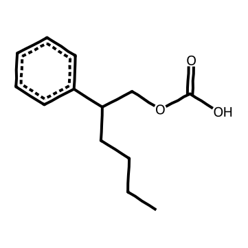 CCCCC(COC(=O)O)c1ccccc1